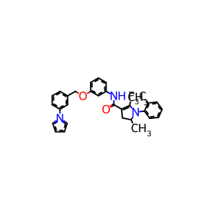 CC1=C(C(=O)Nc2cccc(OCc3cccc(-n4cccc4)c3)c2)CC(C)N1c1ccccc1C(F)(F)F